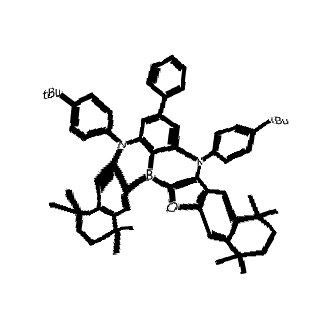 CC(C)(C)c1ccc(N2c3cc4c(cc3B3c5oc6cc7c(cc6c5N(c5ccc(C(C)(C)C)cc5)c5cc(-c6ccccc6)cc2c53)C(C)(C)CCC7(C)C)C(C)(C)CCC4(C)C)cc1